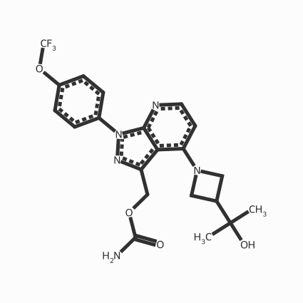 CC(C)(O)C1CN(c2ccnc3c2c(COC(N)=O)nn3-c2ccc(OC(F)(F)F)cc2)C1